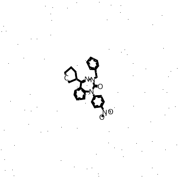 O=C1N(Cc2ccccc2)N=C(C2CCCCC2)c2ccccc2N1c1ccc([N+](=O)[O-])cc1